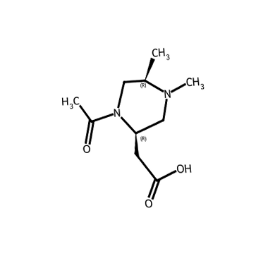 CC(=O)N1C[C@@H](C)N(C)C[C@H]1CC(=O)O